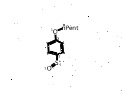 CCCCCOc1ccc([S+]=O)cc1